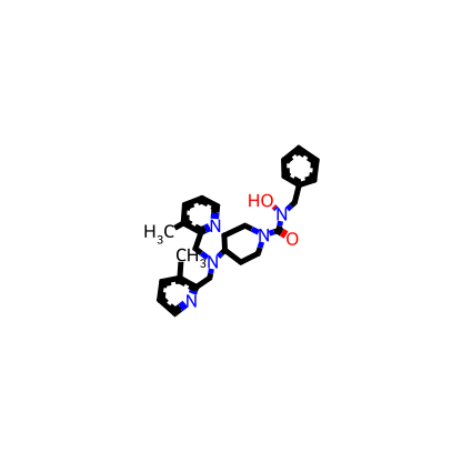 Cc1cccnc1CN(Cc1ncccc1C)C1CCN(C(=O)N(O)Cc2ccccc2)CC1